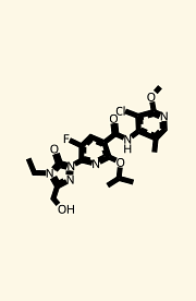 CCn1c(CO)nn(-c2nc(OC(C)C)c(C(=O)Nc3c(C)cnc(OC)c3Cl)cc2F)c1=O